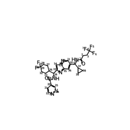 O=C(CCC(F)(F)F)NC(c1cnn2cc([C@@H](NC(=O)c3ccnnc3)C3CCC(F)(F)CC3)nc2c1)C1CC1